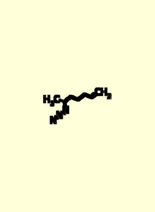 C=CCCC[C@@H](C)N=[N+]=[N-]